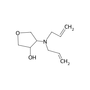 C=CCN(CC=C)C1COCC1O